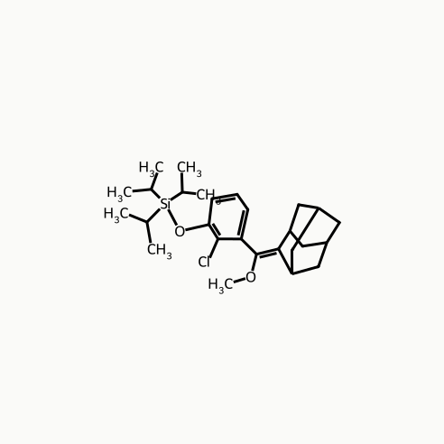 COC(=C1C2CC3CC(C2)CC1C3)c1cccc(O[Si](C(C)C)(C(C)C)C(C)C)c1Cl